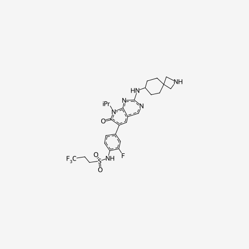 CC(C)n1c(=O)c(-c2ccc(NS(=O)(=O)CCC(F)(F)F)c(F)c2)cc2cnc(NC3CCC4(CC3)CNC4)nc21